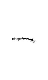 CCCCCCCCCCCCCC[Si](C)(C)Br